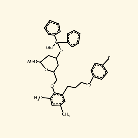 COC1CC(O[Si](c2ccccc2)(c2ccccc2)C(C)(C)C)CC(COc2c(C)cc(C)cc2CCCOc2ccc(F)cc2)O1